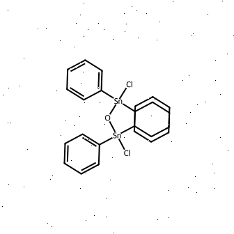 [Cl][Sn]([O][Sn]([Cl])([c]1ccccc1)[CH]1CCCCC1)([c]1ccccc1)[CH]1CCCCC1